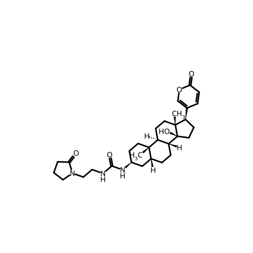 C[C@]12CC[C@H](NC(=O)NCCN3CCCC3=O)C[C@H]1CC[C@@H]1[C@@H]2CC[C@]2(C)[C@@H](c3ccc(=O)oc3)CC[C@]12O